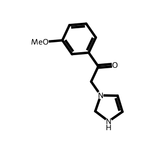 COc1cccc(C(=O)CN2C=CNC2)c1